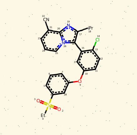 CCS(=O)(=O)c1cccc(Oc2ccc(Cl)c(-c3c(C(C)C)nc4c(C#N)cccn34)c2)c1